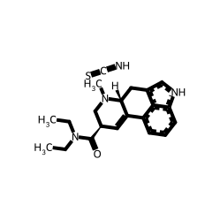 CCN(CC)C(=O)[C@@H]1C=C2c3cccc4[nH]cc(c34)C[C@H]2N(C)C1.N=C=S